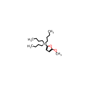 CCC[CH2][Sn]([CH2]CCC)([CH2]CCC)[c]1ccc(OC)o1